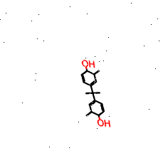 CC1C=C(C(C)(C)C2=CC(C)C(O)C=C2)C=CC1O